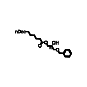 CCCCCCCCCCCCCCCC(=O)OC[C@H](O)COCc1ccccc1